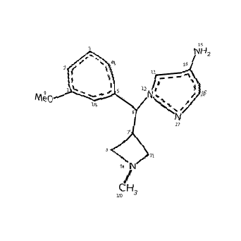 COc1cccc(C(C2CN(C)C2)n2cc(N)cn2)c1